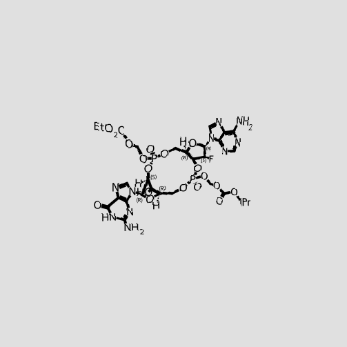 CCOC(=O)OCOP1(=O)OC[C@H]2O[C@@H](n3cnc4c(N)ncnc43)[C@@H](F)C2OP(=O)(OCOC(=O)OC(C)C)OC[C@H]2O[C@@H](n3cnc4c(=O)[nH]c(N)nc43)[C@@H](O1)C2O